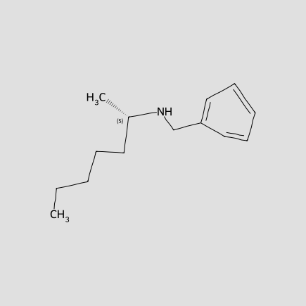 CCCCC[C@H](C)NCc1ccccc1